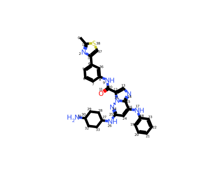 Cc1nc(-c2cccc(NC(=O)c3cnc4c(Nc5ccccc5)cc(NC5CCC(N)CC5)nn34)c2)cs1